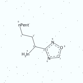 CCCCCCC[CH]([InH2])c1ncon1